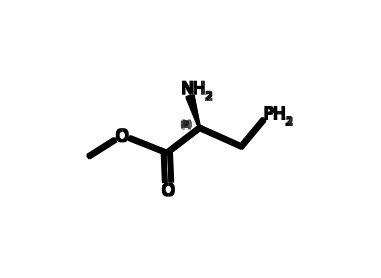 COC(=O)[C@@H](N)CP